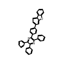 c1ccc(-c2nc(-c3ccccc3)c(-c3ccc(-c4ccc5c(c4)oc4ccccc45)cc3)nc2-c2ccccc2)cc1